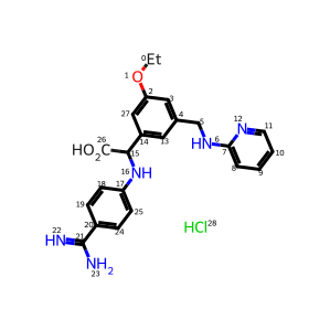 CCOc1cc(CNc2ccccn2)cc(C(Nc2ccc(C(=N)N)cc2)C(=O)O)c1.Cl